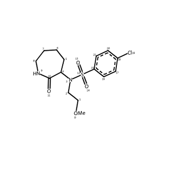 COCCN(C1CCCCNC1=O)S(=O)(=O)c1ccc(Cl)cc1